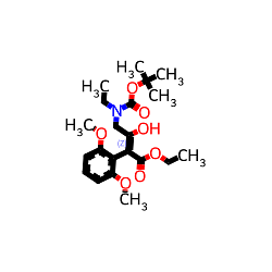 CCOC(=O)/C(=C(\O)CN(CC)C(=O)OC(C)(C)C)c1c(OC)cccc1OC